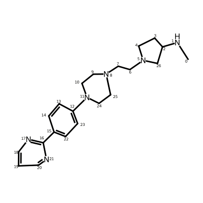 CNC1CCN(CCN2CCN(c3ccc(-c4ncccn4)cc3)CC2)C1